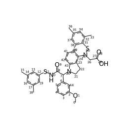 COc1cccc(C(C(=O)NSc2cc(C)cc(C)c2)N2CCc3c(N(CC(=O)O)Sc4c(C)cc(C)cc4C)cccc32)c1